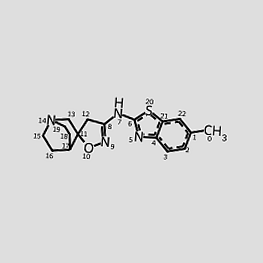 Cc1ccc2nc(NC3=NOC4(C3)CN3CCC4CC3)sc2c1